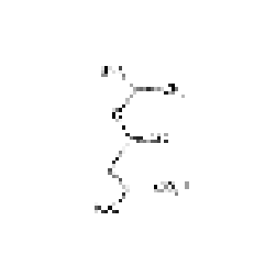 CC(=O)OC(CC(=O)O[C@@H](C)C(C)(C)C)C(=O)O